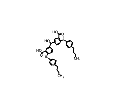 CCCCc1ccc(Nc2ccc(C(O)c3ccc(Nc4ccc(CCCC)cc4)c(C(=O)O)c3)cc2C(=O)O)cc1